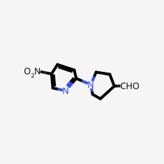 O=CC1CCN(c2ccc([N+](=O)[O-])cn2)CC1